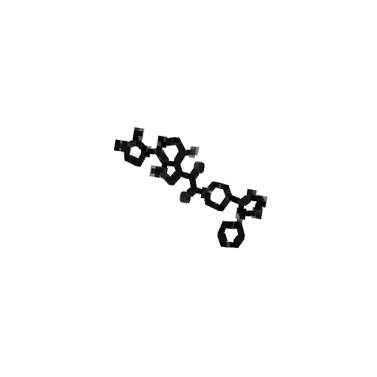 O=C(C(=O)N1CCC(c2nnnn2-c2ccccc2)CC1)c1c[nH]c2c(N3C=CNN3)ncc(F)c12